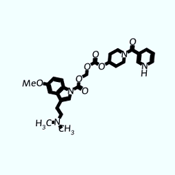 COc1ccc2c(c1)c(CCN(C)C)cn2C(=O)OCOC(=O)OC1CCN(C(=O)C2=CNC=CC2)CC1